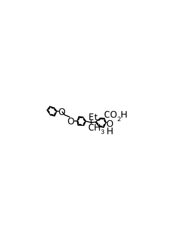 CCC(C)(c1ccc(OCCOc2ccccc2)cc1)c1ccc(O)c(C(=O)O)c1